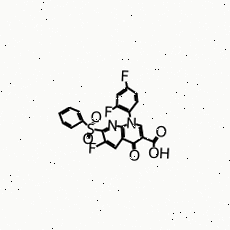 O=C(O)c1cn(-c2ccc(F)cc2F)c2nc(S(=O)(=O)c3ccccc3)c(F)cc2c1=O